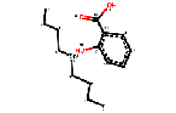 CCC[CH2][Sn][CH2]CCC.O=C(O)c1ccccc1O